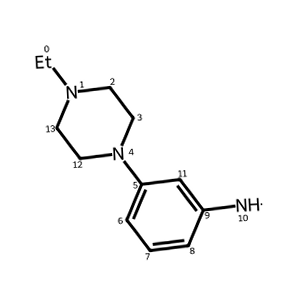 CCN1CCN(c2cccc([NH])c2)CC1